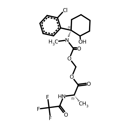 C[C@H](NC(=O)C(F)(F)F)C(=O)OCOC(=O)N(C)[C@]1(c2ccccc2Cl)CCCCC1O